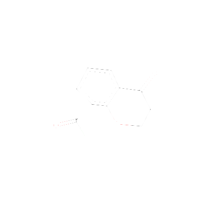 O=C(Cl)c1cccc2c1OCCC2=O